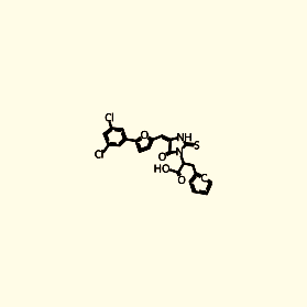 O=C(O)C(Cc1ccccc1)N1C(=O)/C(=C\c2ccc(-c3cc(Cl)cc(Cl)c3)o2)NC1=S